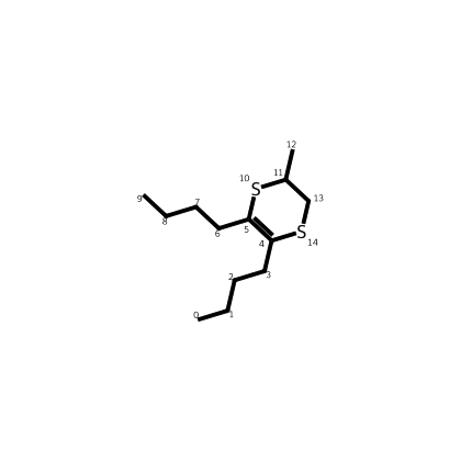 CCCCC1=C(CCCC)SC(C)CS1